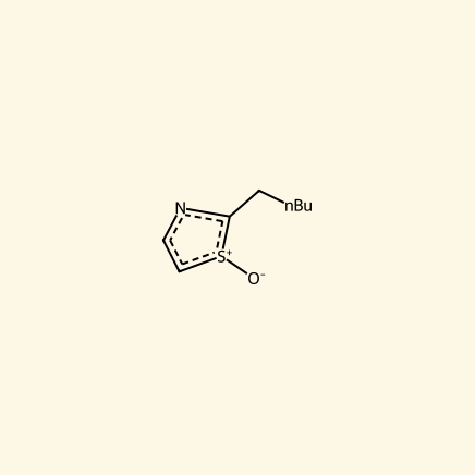 [CH2]CCCCc1ncc[s+]1[O-]